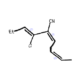 C\C=C/C=C(C#N)\C(Cl)=C\CC